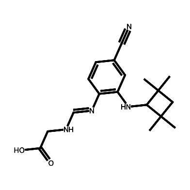 CC1(C)CC(C)(C)C1Nc1cc(C#N)ccc1N=CNCC(=O)O